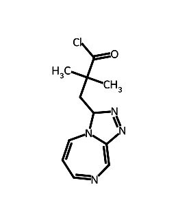 CC(C)(CC1N=NC2=CN=CC=CN21)C(=O)Cl